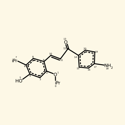 CC(C)Oc1cc(O)c(C(C)C)cc1/C=C/C(=O)c1ccc(N)cc1